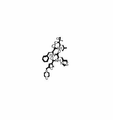 CC(C)C[C@H](NC(=O)[C@H](Cc1ccccc1)NC(=O)[C@H](Cc1cscn1)NC(=O)c1cc(CN2CCOCC2)on1)C(=O)[C@@]1(C)CO1